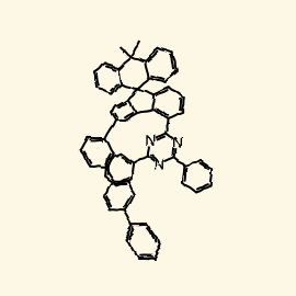 CC1(C)c2ccccc2C2(c3ccc(-c4cccc(-c5ccc(-c6ccccc6)cc5)c4)cc3-c3c(-c4nc(-c5ccccc5)nc(-c5ccccc5)n4)cccc32)c2ccccc21